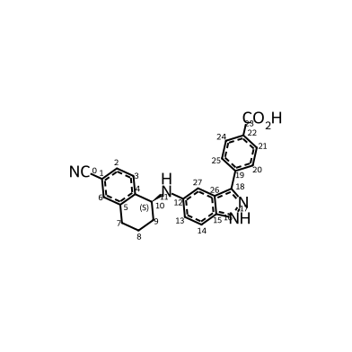 N#Cc1ccc2c(c1)CCC[C@@H]2Nc1ccc2[nH]nc(-c3ccc(C(=O)O)cc3)c2c1